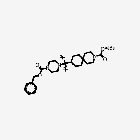 [2H]C([2H])(C1CCC2(CC1)CCN(C(=O)OC(C)(C)C)CC2)N1CCN(C(=O)OCc2ccccc2)CC1